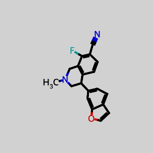 CN1Cc2c(ccc(C#N)c2F)C(c2ccc3ccoc3c2)C1